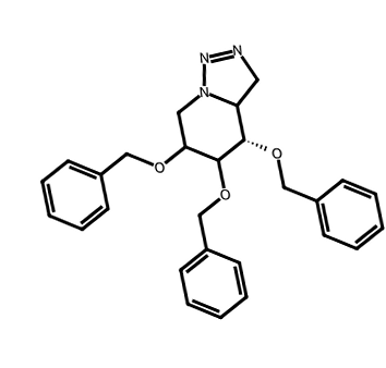 c1ccc(COC2CN3N=NCC3[C@H](OCc3ccccc3)C2OCc2ccccc2)cc1